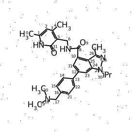 Cc1cc(C)c(CNC(=O)c2cc(-c3ccc(CN(C)C)cc3)cc3c2c(C)nn3C(C)C)c(=O)[nH]1